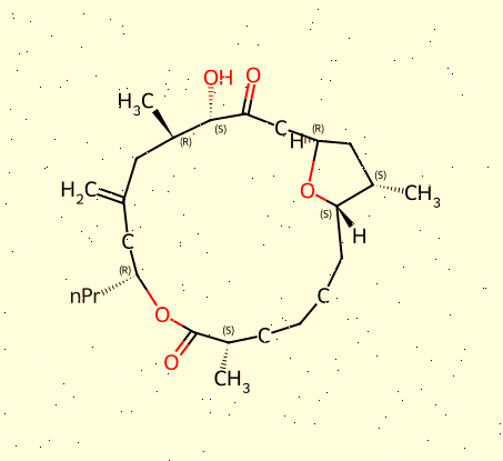 C=C1C[C@@H](CCC)OC(=O)[C@@H](C)CCCC[C@@H]2O[C@@H](CC(=O)[C@@H](O)[C@H](C)C1)C[C@@H]2C